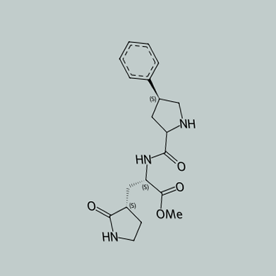 COC(=O)[C@H](C[C@@H]1CCNC1=O)NC(=O)C1C[C@@H](c2ccccc2)CN1